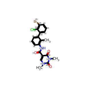 Cc1c(NC(=O)c2cn(C)c(=O)n(C)c2=O)cccc1-c1cccc(Br)c1Cl